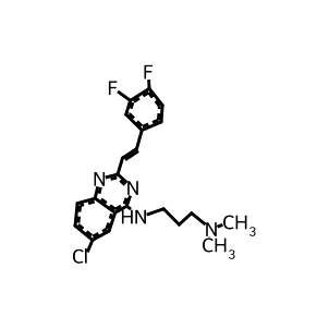 CN(C)CCCNc1nc(C=Cc2ccc(F)c(F)c2)nc2ccc(Cl)cc12